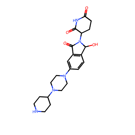 O=C1CCC(N2C(=O)c3cc(N4CCN(C5CCNCC5)CC4)ccc3C2O)C(=O)N1